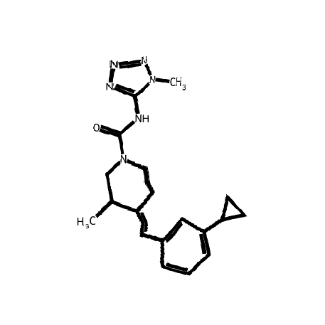 CC1CN(C(=O)Nc2nnnn2C)CC/C1=C\c1cccc(C2CC2)c1